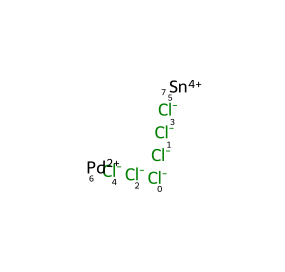 [Cl-].[Cl-].[Cl-].[Cl-].[Cl-].[Cl-].[Pd+2].[Sn+4]